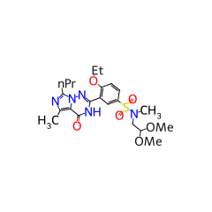 CCCc1nc(C)c2c(=O)[nH]c(-c3cc(S(=O)(=O)N(C)CC(OC)OC)ccc3OCC)nn12